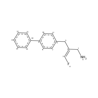 NCC(=CF)Cc1ccc(-c2ccccc2)cc1